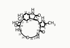 Cc1cc2c([nH]1)/C=C1\C(=O)Nc3ccc(cc31)[C@](C)(O)C(=O)NCCOCCNC2=O